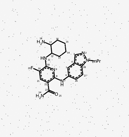 CCCn1ncc2cc(Nc3nc(NC4CCCCC4N)c(F)cc3C(N)=O)ccc21